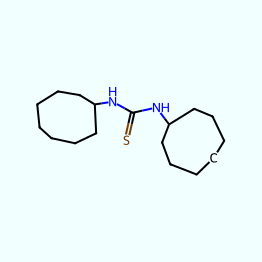 S=C(NC1CCCCCCC1)NC1CCCCCCC1